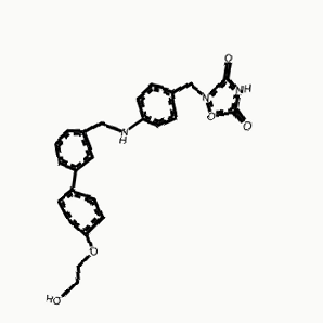 O=c1[nH]c(=O)n(Cc2ccc(NCc3cccc(-c4ccc(OCCO)cc4)c3)cc2)o1